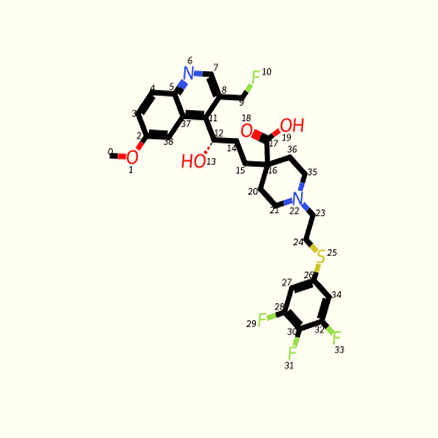 COc1ccc2ncc(CF)c([C@@H](O)CCC3(C(=O)O)CCN(CCSc4cc(F)c(F)c(F)c4)CC3)c2c1